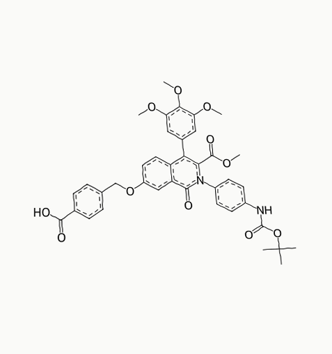 COC(=O)c1c(-c2cc(OC)c(OC)c(OC)c2)c2ccc(OCc3ccc(C(=O)O)cc3)cc2c(=O)n1-c1ccc(NC(=O)OC(C)(C)C)cc1